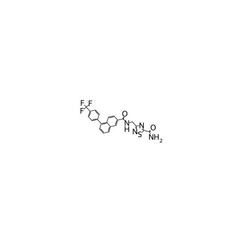 NC(=O)c1nc(CNC(=O)c2ccc3c(-c4ccc(C(F)(F)F)cc4)cccc3c2)ns1